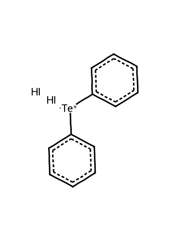 I.I.c1ccc([Te+]c2ccccc2)cc1